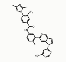 Cc1cn(-c2ccc(C(=O)Nc3ccc(C)c(-c4cc5c(ccn5-c5cc(N)ncn5)cn4)c3)cc2C(F)(F)F)c(C)n1